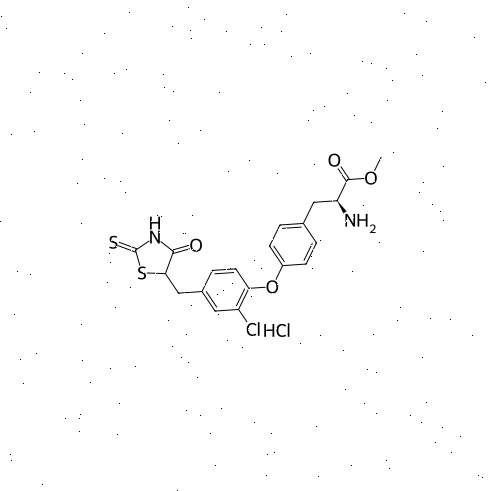 COC(=O)[C@@H](N)Cc1ccc(Oc2ccc(CC3SC(=S)NC3=O)cc2Cl)cc1.Cl